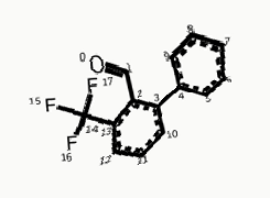 O=Cc1c(-c2ccccc2)cccc1C(F)(F)F